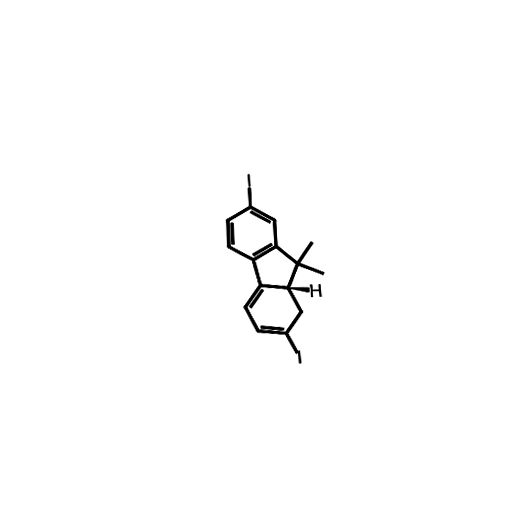 CC1(C)c2cc(I)ccc2C2=CC=C(I)C[C@H]21